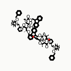 C[C@@H](OCC#CC#CCO[C@H](C)[C@H](NC(=O)[C@H](C)N(C)C(=O)OCC1c2ccccc2-c2ccccc21)C(=O)N1CCC[C@H]1Cn1nnnc1OCc1ccccc1)[C@H](NC(=O)[C@H](C)N(C)C(=O)OCC1c2ccccc2-c2ccccc21)C(=O)N1CCC[C@H]1Cn1nnnc1OCc1ccccc1